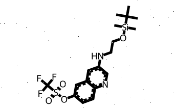 CC(C)(C)[Si](C)(C)OCCNc1cnc2ccc(OS(=O)(=O)C(F)(F)F)cc2c1